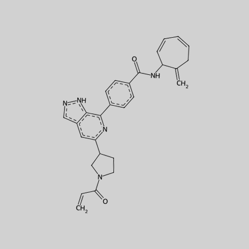 C=CC(=O)N1CCC(c2cc3cn[nH]c3c(-c3ccc(C(=O)NC4C=CC=CCC4=C)cc3)n2)C1